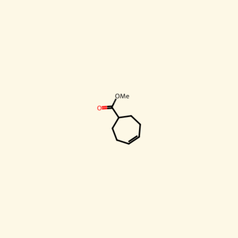 COC(=O)C1CCC=CCC1